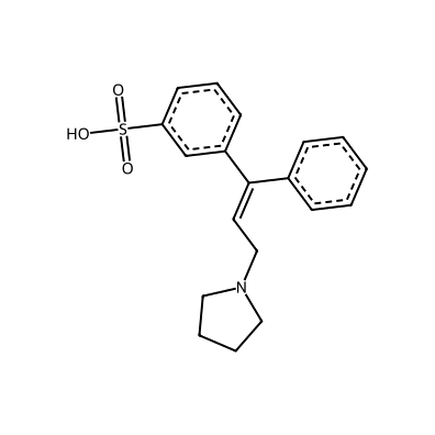 O=S(=O)(O)c1cccc(/C(=C/CN2CCCC2)c2ccccc2)c1